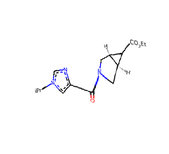 CCOC(=O)C1[C@H]2CN(C(=O)c3cn(C(C)C)cn3)C[C@@H]12